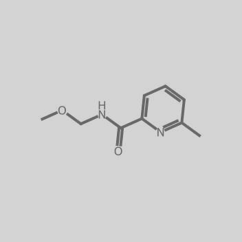 COCNC(=O)c1cccc(C)n1